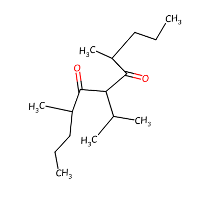 CCCC(C)C(=O)C(C(=O)C(C)CCC)C(C)C